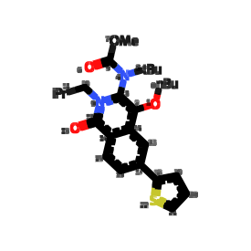 CCCCOc1c(N(C(=O)OC)C(C)(C)C)n(CC(C)C)c(=O)c2ccc(-c3cccs3)cc12